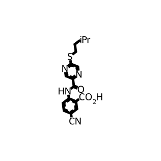 CC(C)CCSc1cnc(C(=O)Nc2ccc(C#N)cc2C(=O)O)cn1